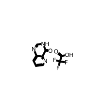 O=C(O)C(F)(F)F.O=c1[nH]cnc2cccnc12